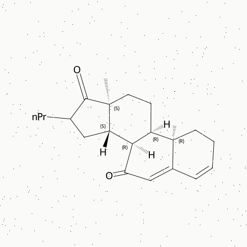 CCCC1C[C@H]2[C@@H]3C(=O)C=C4C=CCC[C@]4(C)[C@@H]3CC[C@]2(C)C1=O